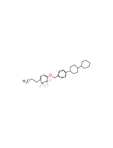 CCCC1=CC=C(OCc2ccc(C3CCC(C4CCCCC4)CC3)cc2)C(F)(F)C1(F)F